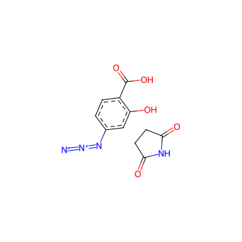 O=C1CCC(=O)N1.[N-]=[N+]=Nc1ccc(C(=O)O)c(O)c1